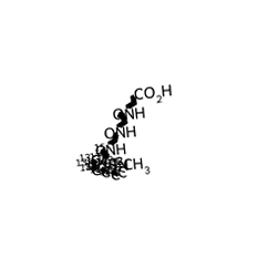 [13CH3][15N]1[13CH2][13CH2]N([13CH2][13CH]2[13CH2][13CH2][13CH2][15N]2[13CH2]C(=O)[15NH]CCC(=O)NCCC(=O)NCCCC(=O)O)[13CH2][13CH2]1